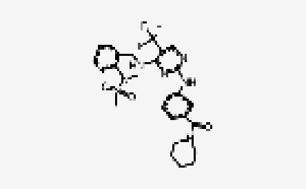 CN(c1ncccc1CNc1nc(Nc2cccc(C(=O)N3CCCCC3)c2)ncc1C(F)(F)F)S(C)(=O)=O